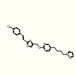 Clc1ccc(/C=C/c2nc(COc3ncc(CCCCn4cccn4)cn3)co2)cc1